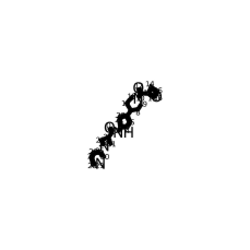 O=C(Nc1ccc(C2CCN(C(=O)c3ccoc3)CC2)cc1)C1CN(c2cccnc2)C1